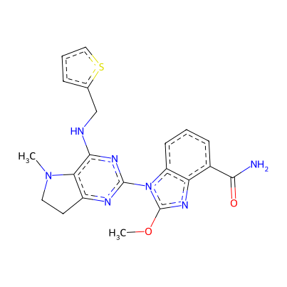 COc1nc2c(C(N)=O)cccc2n1-c1nc2c(c(NCc3cccs3)n1)N(C)CC2